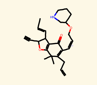 C#CC1OC2=C(C(=O)C(/C=C\COC3CCCNC3)=C(CC=C)C2(C)C)C1C=CC